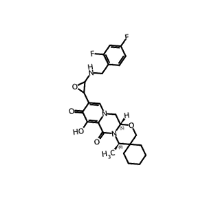 C[C@H]1N2C(=O)c3c(O)c(=O)c(C4OC4NCc4ccc(F)cc4F)cn3C[C@@H]2OCC12CCCCC2